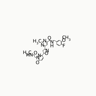 CNC(=O)Cn1nc(C2CC(c3cc(C(=O)NCc4ccc(F)c(OC)c4)nc(C)n3)=NO2)ccc1=O